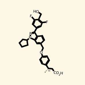 C[C@@H](CC(=O)O)c1ccc(OCc2ccc3c(-c4cc(F)c(CO)c(F)c4)nn(C4CCCC4)c3c2)cc1